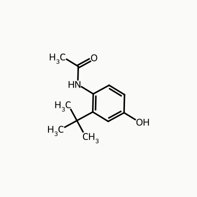 CC(=O)Nc1ccc(O)cc1C(C)(C)C